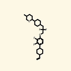 C=CC1CCC(c2ccc(OCC(F)(F)CC3CCC(C4CCC(C)CO4)CC3)c(F)c2F)CC1